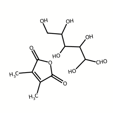 CC1=C(C)C(=O)OC1=O.O=CC(O)C(O)C(O)C(O)CO